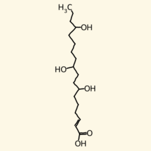 CCCC(O)CCCCC(O)CCC(O)CCCC=CC(=O)O